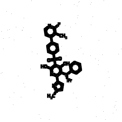 Cc1c(-c2ccc(S(=O)(=O)c3c(O)nc(-c4ccn(C)n4)c(N(c4ccccc4)C(C)C)c3O)cc2)ccnc1F